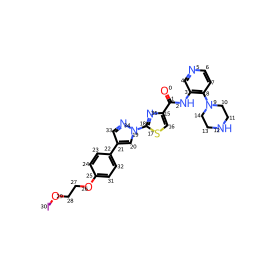 O=C(Nc1cnccc1N1CCNCC1)c1csc(-n2cc(-c3ccc(OCCOI)cc3)cn2)n1